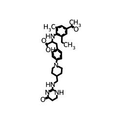 CCc1cc(C(C)=O)cc(C)c1NC(Cc1ccc(N2CCC(CNC3=NC(=O)CCN3)CC2)cc1)C(=O)O